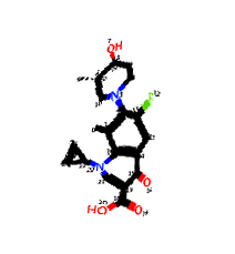 Cc1c(N2CC[C@H](O)[C@@H](C)C2)c(F)cc2c(=O)c(C(=O)O)cn(C3CC3)c12